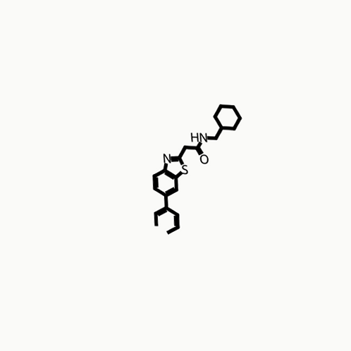 C/C=C\C(=C/C)c1ccc2nc(CC(=O)NCC3CCCCC3)sc2c1